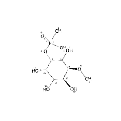 O=P(O)(O)OC1C(O)[C@@H](OO)[C@@H](O)C(O)[C@@H]1O